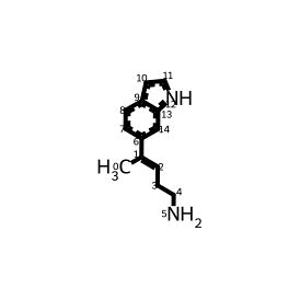 CC(=CCCN)c1ccc2cc[nH]c2c1